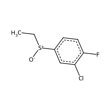 CC[S+]([O-])c1ccc(F)c(Cl)c1